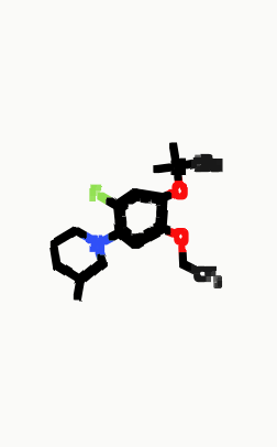 CC1CCCN(c2cc(OCC(F)(F)F)c(O[Si](C)(C)C(C)(C)C)cc2F)C1